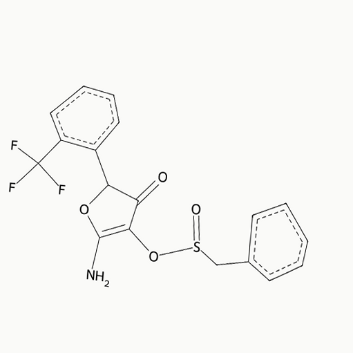 NC1=C(OS(=O)Cc2ccccc2)C(=O)C(c2ccccc2C(F)(F)F)O1